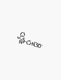 [O-][S+]1CCN(c2ccc(-c3cnc(C4(c5ccccc5)CC4)s3)cc2)CC1